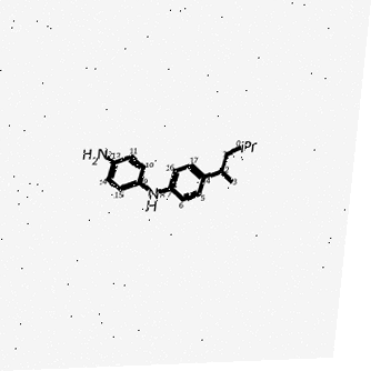 CC(C)CC(C)c1ccc(Nc2ccc(N)cc2)cc1